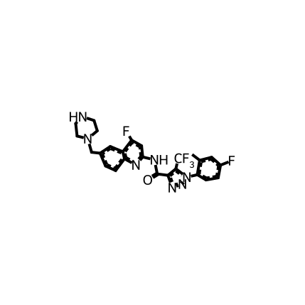 Cc1cc(F)ccc1-n1nnc(C(=O)Nc2cc(F)c3cc(CN4CCNCC4)ccc3n2)c1C(F)(F)F